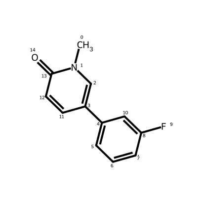 Cn1cc(-c2cc[c]c(F)c2)ccc1=O